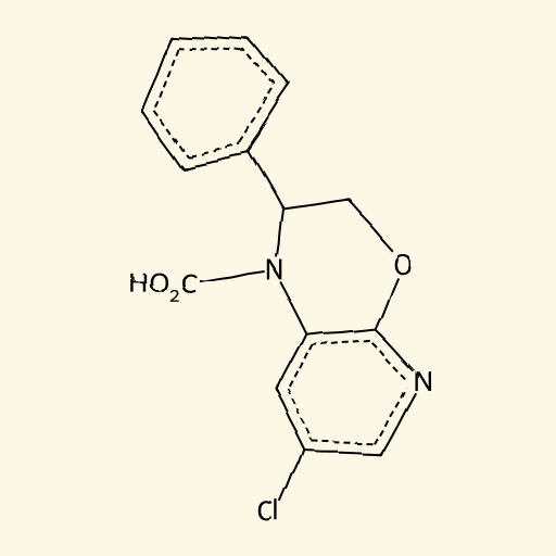 O=C(O)N1c2cc(Cl)cnc2OCC1c1ccccc1